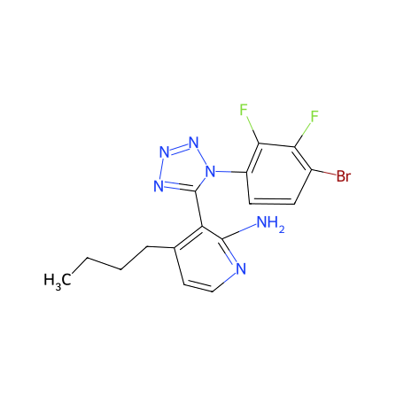 CCCCc1ccnc(N)c1-c1nnnn1-c1ccc(Br)c(F)c1F